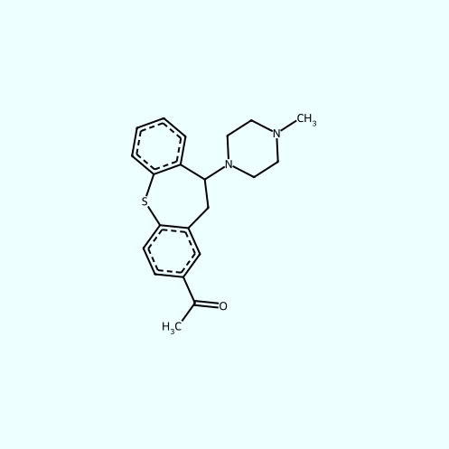 CC(=O)c1ccc2c(c1)CC(N1CCN(C)CC1)c1ccccc1S2